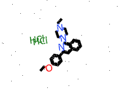 CCOc1ccc(-c2cc3ccccc3c(N3CCN(CC)CC3)n2)cc1.Cl.Cl